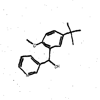 COc1ccc(C(C)(C)C)cc1C(O)c1cccnc1